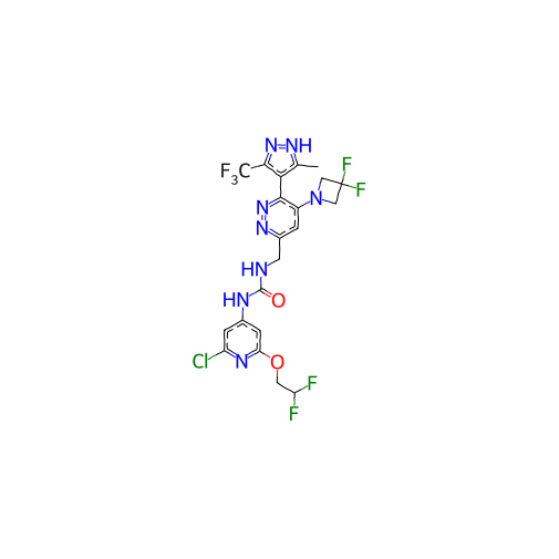 Cc1[nH]nc(C(F)(F)F)c1-c1nnc(CNC(=O)Nc2cc(Cl)nc(OCC(F)F)c2)cc1N1CC(F)(F)C1